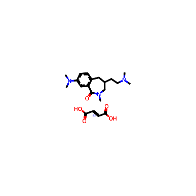 CN(C)CCC1Cc2ccc(N(C)C)cc2C(=O)N(C)C1.O=C(O)/C=C/C(=O)O